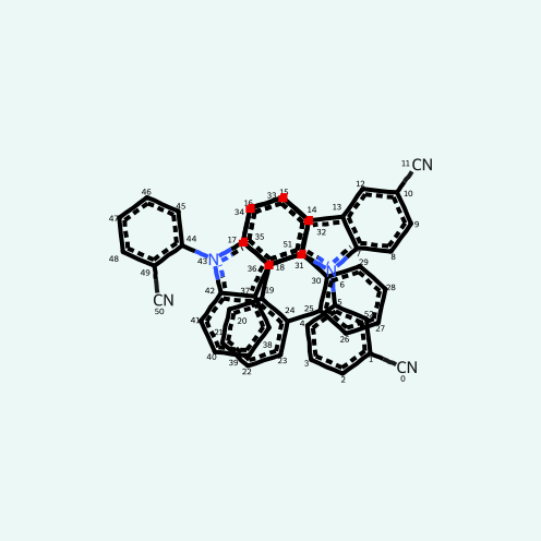 N#Cc1cccc(-n2c3ccc(C#N)cc3c3cccc(-c4ccccc4-c4ccccc4-c4cccc5c4c4ccccc4n5-c4ccccc4C#N)c32)c1